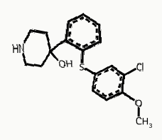 COc1ccc(Sc2ccccc2C2(O)CCNCC2)cc1Cl